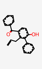 C=CCc1c(C(=O)c2ccccc2)ccc(O)c1-c1ccccc1